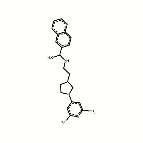 Cc1cc(N2CCC(CCNC(C)c3ccc4nccnc4c3)C2)cc(C)n1